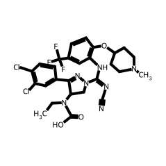 CCN(C(=O)O)C1CN(/C(=N\C#N)Nc2cc(C(F)(F)F)ccc2OC2CCN(C)CC2)N=C1c1ccc(Cl)c(Cl)c1